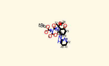 CC(C)(C)OC(=O)N(C(=O)OC(C)(C)C)C1=NC2(CO1)c1cc(Nc3ccccn3)ccc1OCC21COC1